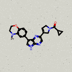 CC(C)N1CCOc2ccc(-c3c[nH]c4ncc(C5=CCN(C(=O)C6CC6)C5)nc34)cc21